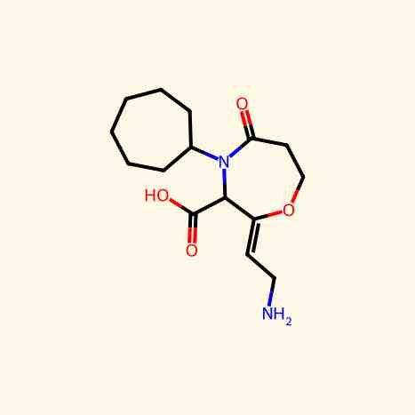 NCC=C1OCCC(=O)N(C2CCCCCC2)C1C(=O)O